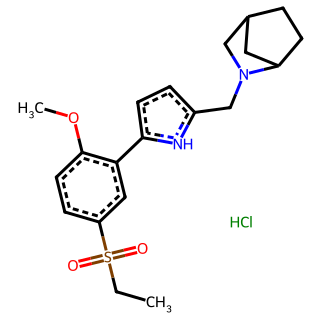 CCS(=O)(=O)c1ccc(OC)c(-c2ccc(CN3CC4CCC3C4)[nH]2)c1.Cl